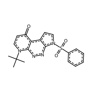 CC(C)(C)n1ccc(=O)c2c3ccn(S(=O)(=O)c4ccccc4)c3nnc21